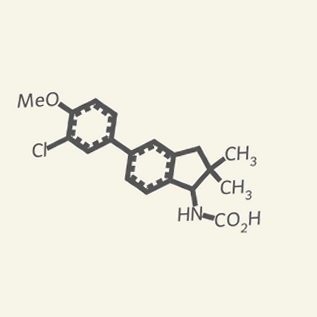 COc1ccc(-c2ccc3c(c2)CC(C)(C)C3NC(=O)O)cc1Cl